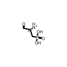 N[C@H](C=O)CP(=O)(O)O